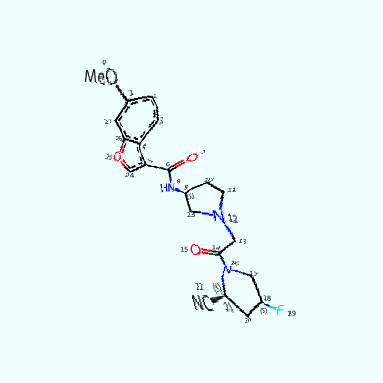 COc1ccc2c(C(=O)N[C@H]3CCN(CC(=O)N4C[C@@H](F)C[C@H]4C#N)C3)coc2c1